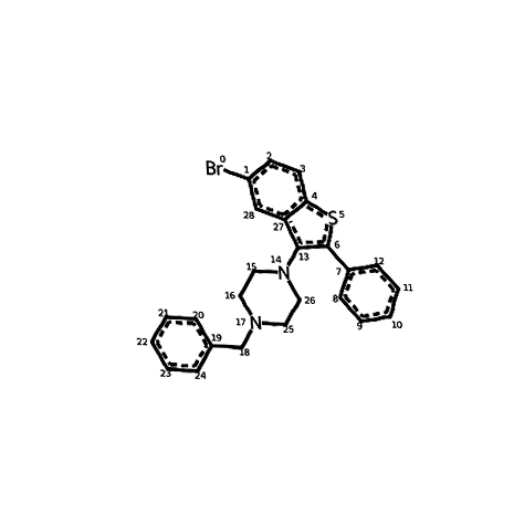 Brc1ccc2sc(-c3ccccc3)c(N3CCN(Cc4ccccc4)CC3)c2c1